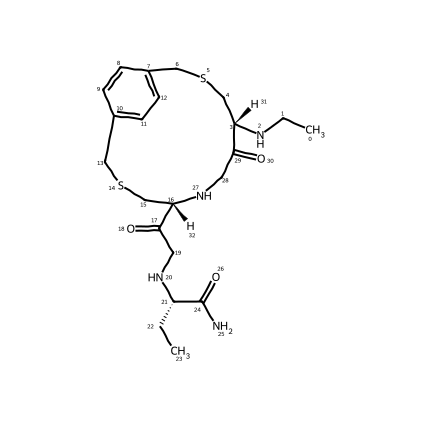 CCN[C@H]1CSCc2ccc(cc2)CSC[C@@H](C(=O)CN[C@@H](CC)C(N)=O)NCC1=O